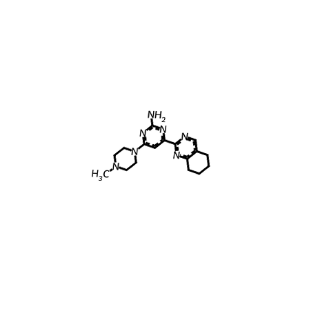 CN1CCN(c2cc(-c3ncc4c(n3)CCCC4)nc(N)n2)CC1